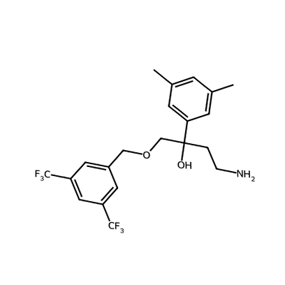 Cc1cc(C)cc(C(O)(CCN)COCc2cc(C(F)(F)F)cc(C(F)(F)F)c2)c1